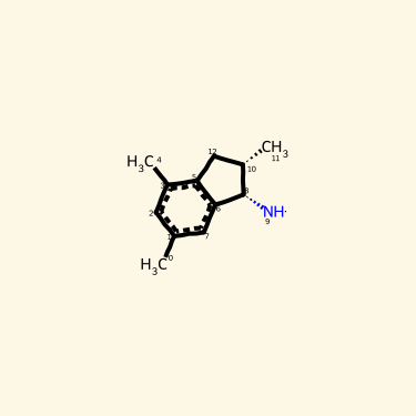 Cc1cc(C)c2c(c1)[C@@H]([NH])[C@@H](C)C2